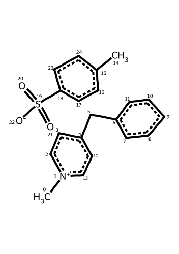 C[n+]1ccc(Cc2ccccc2)cc1.Cc1ccc(S(=O)(=O)[O-])cc1